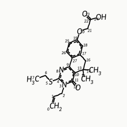 C=CCn1c(SCC)nc2c(c1=O)C(C)(C)Cc1cc(OCC(=O)O)ccc1-2